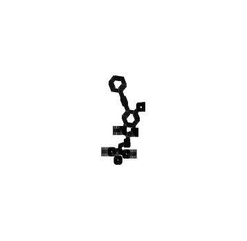 O=P(O)(O)CSc1nc2cc(Cl)c(C#Cc3ccccc3)cc2[nH]1